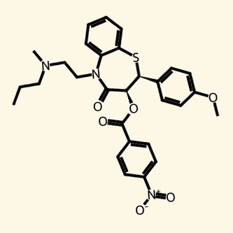 CCCN(C)CCN1C(=O)[C@H](OC(=O)c2ccc([N+](=O)[O-])cc2)[C@H](c2ccc(OC)cc2)Sc2ccccc21